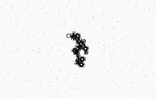 COc1ccc(COC(=O)c2nc(N3CCCc4c3nnc(Cl)c4C)ccc2-c2cnn(CC34CC5CC(C3)CC(OCCO[Si](c3ccccc3)(c3ccccc3)C(C)(C)C)(C5)C4)c2C)cc1